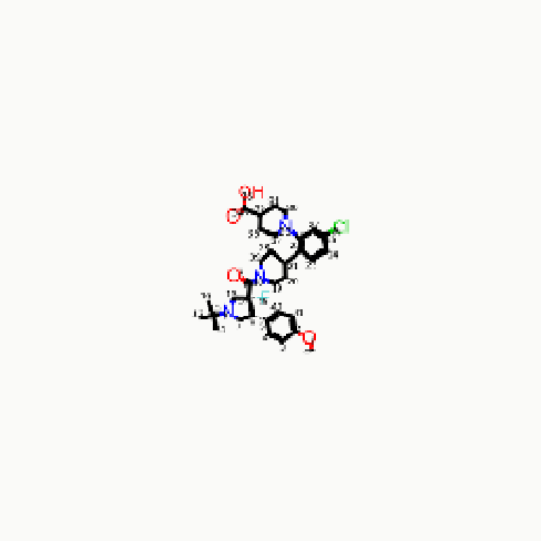 COc1ccc([C@@H]2CN(C(C)(C)C)C[C@@]2(F)C(=O)N2CCC(c3ccc(Cl)cc3N3CCC(C(=O)O)CC3)CC2)cc1